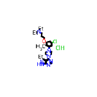 CCc1n[nH]c2ncnc(N3CCN(c4cc(Cl)cc(OCCCN(CC)CC)c4C)CC3)c12.Cl